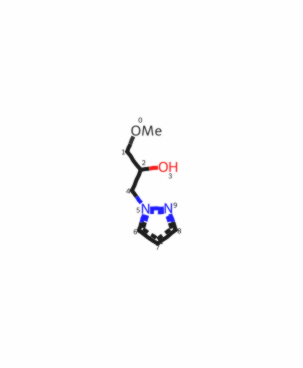 COCC(O)Cn1c[c]cn1